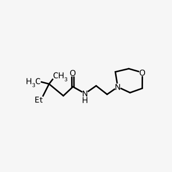 CCC(C)(C)CC(=O)NCCN1CCOCC1